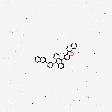 c1cc(-c2ccc3ccccc3c2)cc(-c2c3ccccc3c(-c3ccc4oc5c6ccccc6ccc5c4c3)c3ccccc23)c1